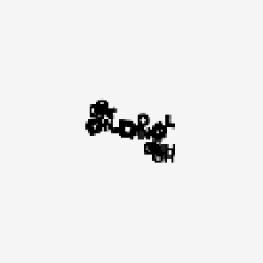 CC(C)N1C[C@H](C(=O)NO)[C@H](NC(=O)c2ccc(CN3CC(C)(C)S(=O)(=O)c4ccccc43)cc2)C1